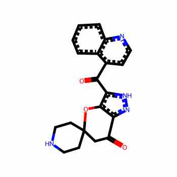 O=C1CC2(CCNCC2)Oc2c1n[nH]c2C(=O)c1ccnc2ccccc12